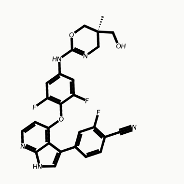 C[C@]1(CO)CN=C(Nc2cc(F)c(Oc3ccnc4[nH]cc(-c5ccc(C#N)c(F)c5)c34)c(F)c2)OC1